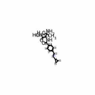 CC(C)(N)[C@H](NC(=O)c1ccc(/C=C/C2CC2)cc1)C(=O)NO